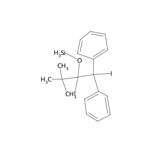 CC(C)(C)C(I)(O[SiH3])C(I)(c1ccccc1)c1ccccc1